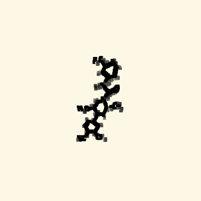 C[C@@H]1CN(c2ccc(C#N)c(C(F)(F)F)c2)[C@@H](C)CN1C(=O)Nc1ccnc(C(F)(F)F)c1